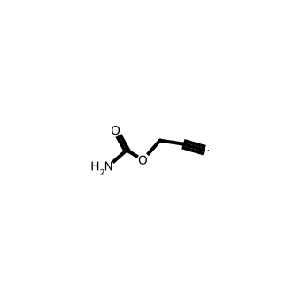 [C]#CCOC(N)=O